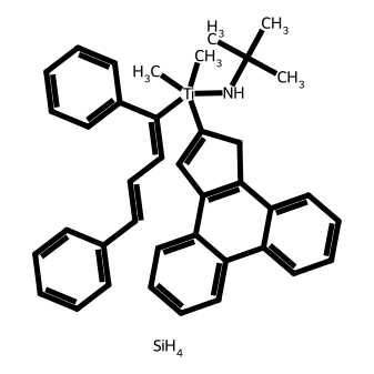 CC(C)(C)[NH][Ti]([CH3])([CH3])([C]1=Cc2c(c3ccccc3c3ccccc23)C1)[C](=CC=Cc1ccccc1)c1ccccc1.[SiH4]